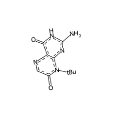 CC(C)(C)n1c(=O)cnc2c(=O)[nH]c(N)nc21